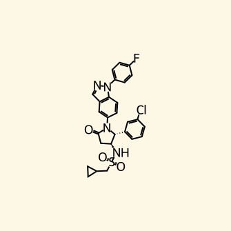 O=C1C[C@H](NS(=O)(=O)CC2CC2)[C@@H](c2cccc(Cl)c2)N1c1ccc2c(cnn2-c2ccc(F)cc2)c1